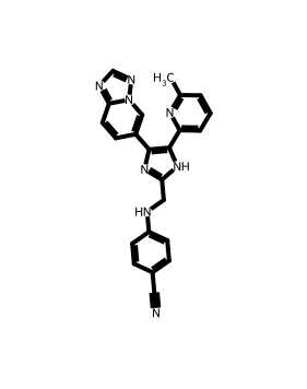 Cc1cccc(-c2[nH]c(CNc3ccc(C#N)cc3)nc2-c2ccc3ncnn3c2)n1